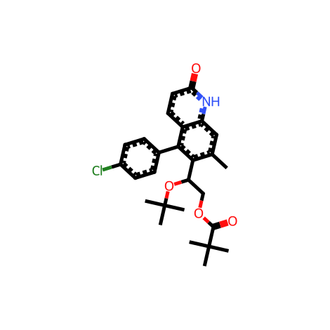 Cc1cc2[nH]c(=O)ccc2c(-c2ccc(Cl)cc2)c1C(COC(=O)C(C)(C)C)OC(C)(C)C